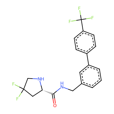 O=C(NCc1cccc(-c2ccc(C(F)(F)F)cc2)c1)[C@@H]1CC(F)(F)CN1